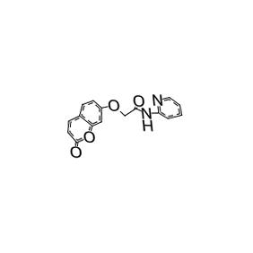 O=C(COc1ccc2ccc(=O)oc2c1)Nc1ccccn1